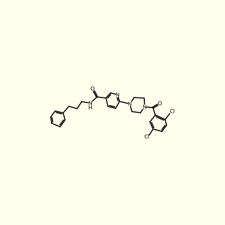 O=C(NCCCc1ccccc1)c1ccc(N2CCN(C(=O)c3cc(Cl)ccc3Cl)CC2)nc1